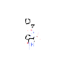 O=C1NN=Cc2c(C(=O)O)n(NC(=O)[C@@H]3C[C@H]3c3ccccc3)c3cccc1c23